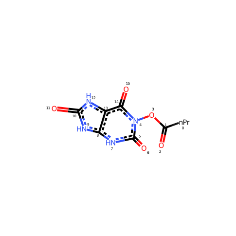 CCCC(=O)On1c(=O)[nH]c2[nH]c(=O)[nH]c2c1=O